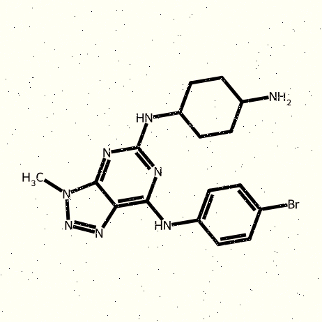 Cn1nnc2c(Nc3ccc(Br)cc3)nc(NC3CCC(N)CC3)nc21